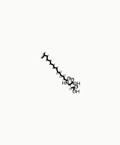 CC(C)CCCCCCCCCCCCC(=O)N[C@@H](CC(=O)O)C(=O)O